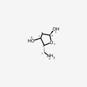 NC[C@H]1O[C@H](O)CC1O